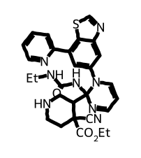 CCNC(=O)NC1(C2CNCCC2(C#N)C(=O)OCC)N=CC=CN1c1cc(-c2ccccn2)c2scnc2c1